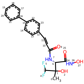 CC(O)(C(F)F)[C@H](NC(=O)/C=C/c1ccc(-c2ccccc2)cc1)C(=O)NO